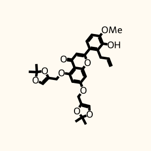 C=CCc1c(-c2cc(=O)c3c(OCC4=COC(C)(C)O4)cc(OCC4=COC(C)(C)O4)cc3o2)ccc(OC)c1O